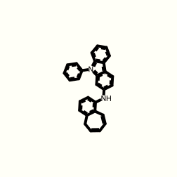 C1=CCc2cccc(Nc3ccc4c5ccccc5n(-c5ccccc5)c4c3)c2C=C1